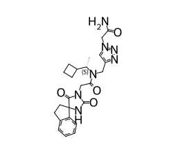 C[C@@H](C1CCC1)N(Cc1cn(CC(N)=O)nn1)C(=O)CN1C(=O)NC2(CCc3ccccc32)C1=O